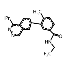 Cc1ccc(C(=O)NCC(F)(F)F)cc1-c1ccc2c(C(C)C)nncc2c1